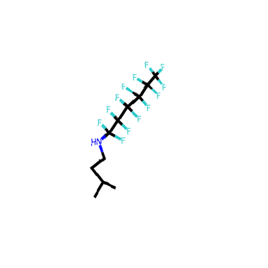 CC(C)CCNC(F)(F)C(F)(F)C(F)(F)C(F)(F)C(F)(F)C(F)(F)F